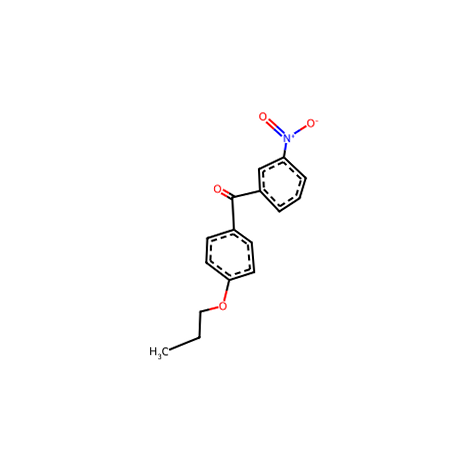 CCCOc1ccc(C(=O)c2cccc([N+](=O)[O-])c2)cc1